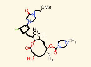 COCCN1CCN(c2cc(F)cc(/C=C(\C)[C@H]3OC(=O)C[C@@H](O)CC[C@@H](C)[C@H](OC(=O)N4CCN(C)CC4)/C=C/[C@@H]3C)c2)CC1=O